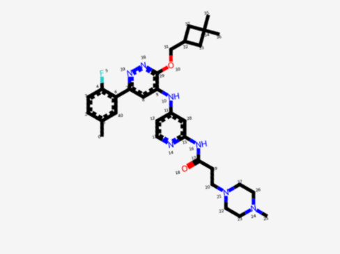 Cc1ccc(F)c(-c2cc(Nc3ccnc(NC(=O)CCN4CCN(C)CC4)c3)c(OCC3CC(C)(C)C3)nn2)c1